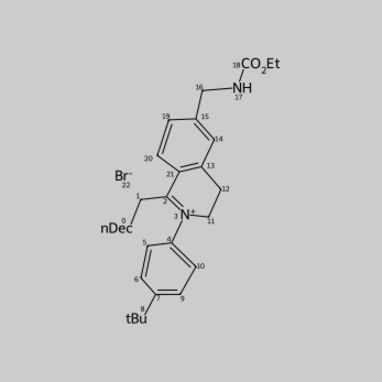 CCCCCCCCCCCC1=[N+](c2ccc(C(C)(C)C)cc2)CCc2cc(CNC(=O)OCC)ccc21.[Br-]